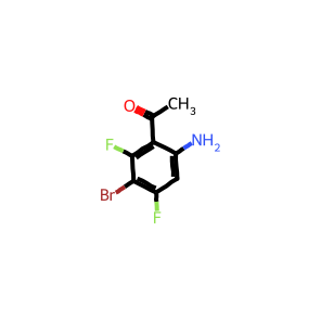 CC(=O)c1c(N)cc(F)c(Br)c1F